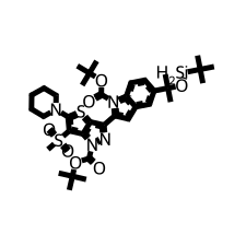 CC(C)(C)OC(=O)n1nc(-c2cc3cc(C(C)(C)O[SiH2]C(C)(C)C)ccc3n2C(=O)OC(C)(C)C)c2sc(N3CCCCC3)c(S(C)(=O)=O)c21